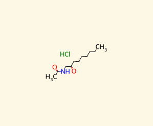 CCCCCCCC(=O)CNC(C)=O.Cl